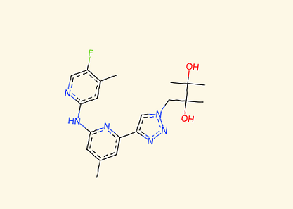 Cc1cc(Nc2cc(C)c(F)cn2)nc(-c2cn(CC(C)(O)C(C)(C)O)nn2)c1